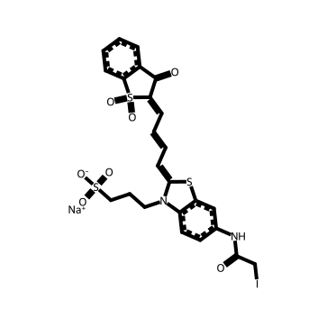 O=C(CI)Nc1ccc2c(c1)SC(=CC=CC=C1C(=O)c3ccccc3S1(=O)=O)N2CCCS(=O)(=O)[O-].[Na+]